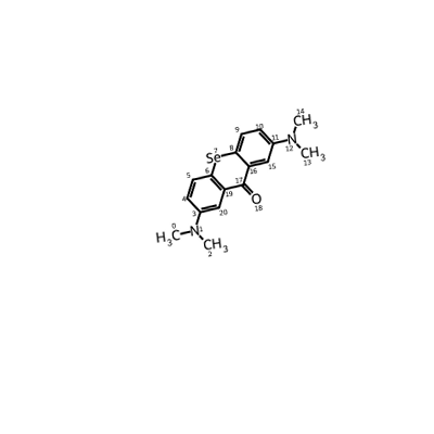 CN(C)c1ccc2[se]c3ccc(N(C)C)cc3c(=O)c2c1